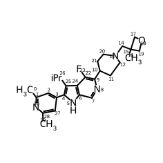 Cc1cc(-c2[nH]c3cnc(C4CCN(CC5(C)COC5)CC4)c(F)c3c2C(C)C)cc(C)n1